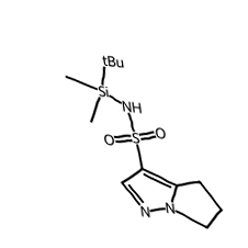 CC(C)(C)[Si](C)(C)NS(=O)(=O)c1cnn2c1CCC2